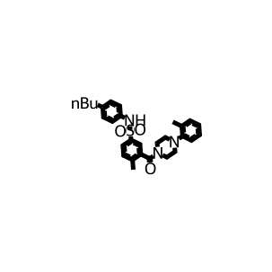 CCCCc1ccc(NS(=O)(=O)c2ccc(C)c(C(=O)N3CCN(c4ccccc4C)CC3)c2)cc1